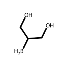 BC(CO)CO